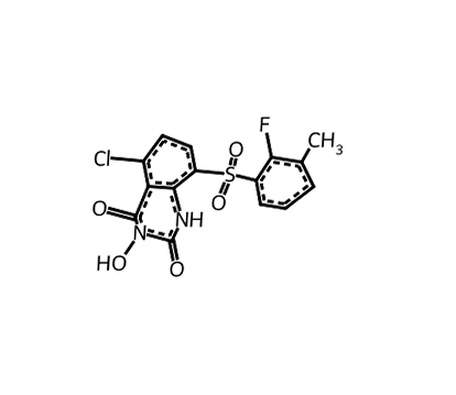 Cc1cccc(S(=O)(=O)c2ccc(Cl)c3c(=O)n(O)c(=O)[nH]c23)c1F